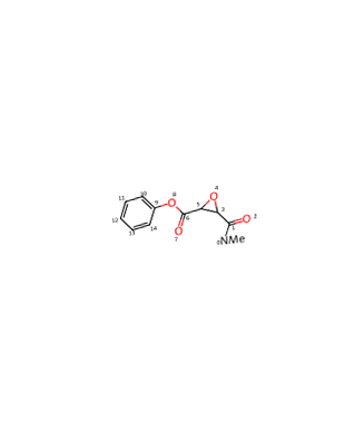 CNC(=O)C1OC1C(=O)Oc1ccccc1